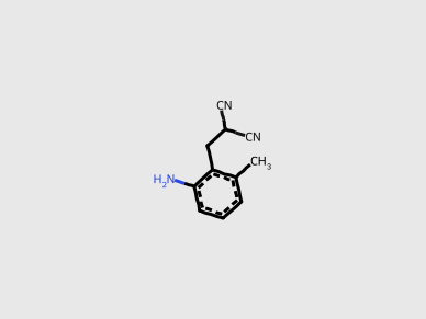 Cc1cccc(N)c1CC(C#N)C#N